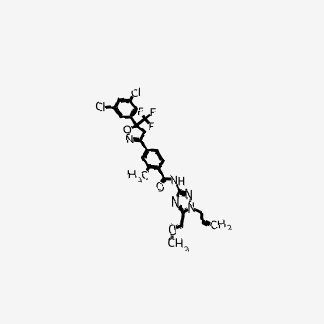 C=CCn1nc(NC(=O)c2ccc(C3=NOC(c4cc(Cl)cc(Cl)c4)(C(F)(F)F)C3)cc2C)nc1COC